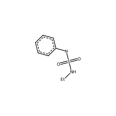 CCNS(=O)(=O)[N]c1ccccc1